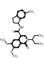 CCC(CC)n1cc(C(=O)NC2CCc3ccc(C)cc32)c2cc(OC)c(OC)cc2c1=O